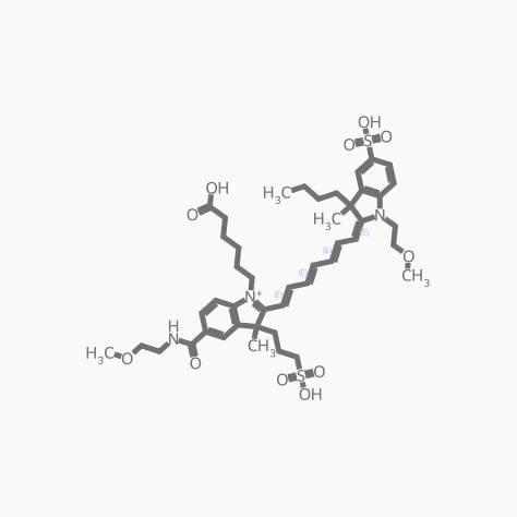 CCCCC1(C)\C(=C/C=C/C=C/C=C/C2=[N+](CCCCCC(=O)O)c3ccc(C(=O)NCCOC)cc3C2(C)CCCS(=O)(=O)O)N(CCOC)c2ccc(S(=O)(=O)O)cc21